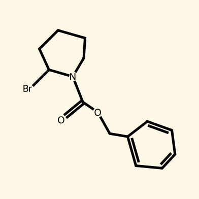 O=C(OCc1ccccc1)N1CCCCC1Br